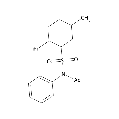 CC(=O)N(c1ccccc1)S(=O)(=O)C1CC(C)CCC1C(C)C